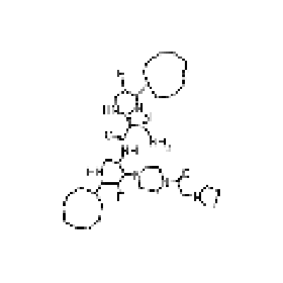 Nc1nn2c(c1C(=O)NC1CNC(C3CCCCCCCC3)C(F)C1N1CCN(C(=O)CN3CCCC3)CC1)NCC(F)C2C1CCCCCCCCC1